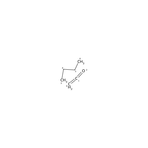 C=C=O.CCCC